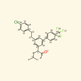 CC(=O)C(CC(C)C)c1cc(CCc2ccc(Cl)cc2)cc(-c2ccc(C(F)(F)F)cc2)c1